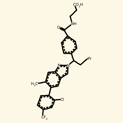 Cc1cc2nn(C(CC(C)C)c3ccc(C(=O)NCCC(=O)O)cc3)cc2cc1-c1ccc(C(F)(F)F)cc1Cl